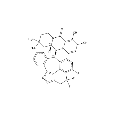 CC1(C)CCN2C(=O)C3=C(O)C(O)C=CN3N([C@@H]3c4ccccc4-c4scc5c4-c4c3ccc(F)c4C(F)(F)C5)[C@@H]2C1